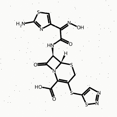 Nc1nc(/C(=N/O)C(=O)N[C@@H]2C(=O)N3C(C(=O)O)=C(Sc4cnns4)CS[C@@H]23)cs1